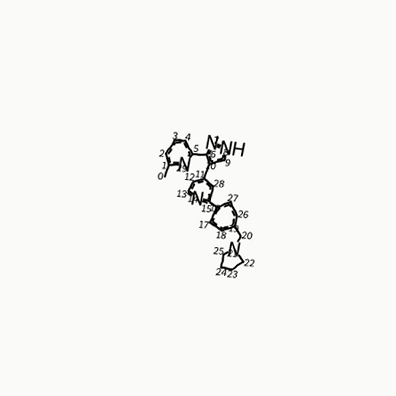 Cc1cccc(-c2n[nH]cc2-c2ccnc(-c3ccc(CN4CCCC4)cc3)c2)n1